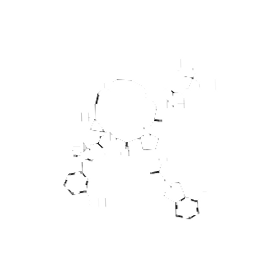 Cc1cccc(S(=O)(=O)NC(=O)[C@@]23C[C@H]2/C=C\CCCCC[C@H](NC(=O)OC(C)(C)C)C(=O)N2C[C@H](OC(=O)N4Cc5cccc(F)c5C4)C[C@H]2C(=O)N3)c1